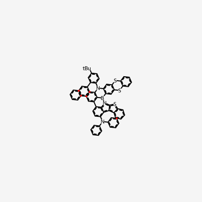 CC(C)(C)c1ccc(N2c3cc4c(cc3B3c5c(cc(-c6ccccc6)cc52)-c2ccc(N(c5ccccc5)c5ccccc5)c5c6c7ccccc7sc6n3c25)Sc2ccccc2S4)c(-c2ccccc2)c1